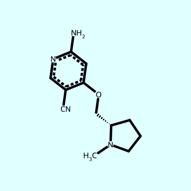 CN1CCC[C@H]1COc1cc(N)ncc1C#N